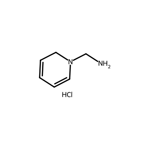 Cl.NCN1C=CC=CC1